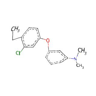 CCc1ccc(Oc2cccc(N(C)C)c2)cc1Cl